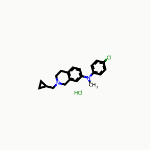 CN(c1ccc(Cl)cc1)c1ccc2c(c1)CN(CC1CC1)CC2.Cl